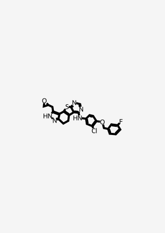 Fc1cccc(COc2ccc(Nc3ncnc4sc5c(c34)CCc3n[nH]c(CC4CO4)c3-5)cc2Cl)c1